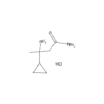 CC(N)(CC(N)=O)C1CC1.Cl